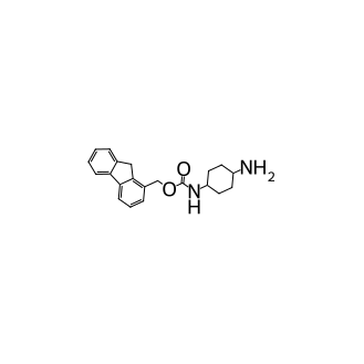 NC1CCC(NC(=O)OCc2cccc3c2Cc2ccccc2-3)CC1